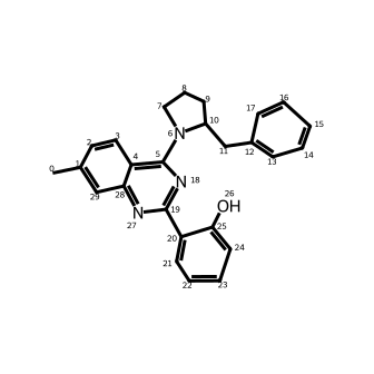 Cc1ccc2c(N3CCCC3Cc3ccccc3)nc(-c3ccccc3O)nc2c1